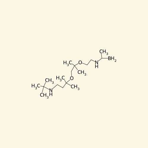 BC(C)NCCOC(C)(C)COC(C)(C)CCNC(C)(C)C